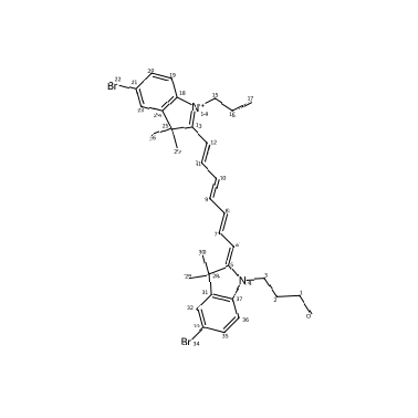 CCCCN1/C(=C/C=C/C=C/C=C/C2=[N+](CCC)c3ccc(Br)cc3C2(C)C)C(C)(C)c2cc(Br)ccc21